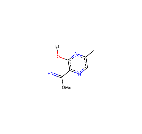 CCOc1nc(C)cnc1C(=N)OC